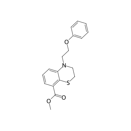 COC(=O)c1cccc2c1SCCN2CCOc1ccccc1